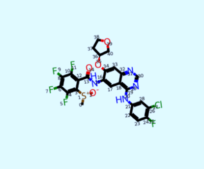 C[S+]([O-])c1c(F)c(F)c(F)c(F)c1C(=O)Nc1cc2c(Nc3ccc(F)c(Cl)c3)ncnc2cc1O[C@H]1CCOC1